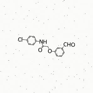 O=Cc1cccc(OCC(=O)Nc2ccc(Cl)cc2)c1